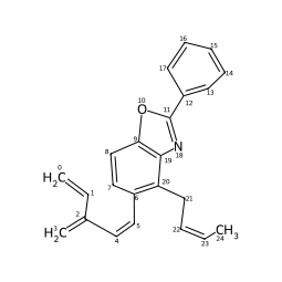 C=CC(=C)/C=C\c1ccc2oc(-c3ccccc3)nc2c1C/C=C\C